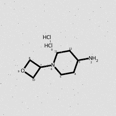 Cl.Cl.NC1CCN(C2COC2)CC1